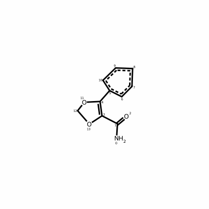 NC(=O)C1=C(c2ccccc2)OCO1